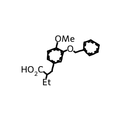 CCC(Cc1ccc(OC)c(OCc2ccccc2)c1)C(=O)O